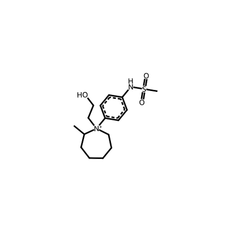 CC1CCCCC[N+]1(CCO)c1ccc(NS(C)(=O)=O)cc1